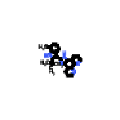 Cc1cccc2c(-c3nc4c5cccnc5c5ncccc5c4[nH]3)c(C(C)(C)C)[nH]c12